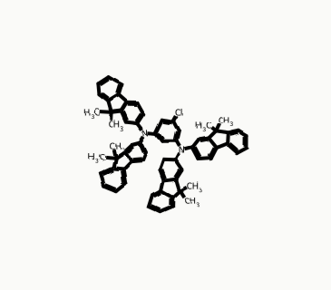 CC1(C)C2=CC(N(c3cc(Cl)cc(N(c4ccc5c(c4)C(C)(C)c4ccccc4-5)c4ccc5c(c4)C(C)(C)c4ccccc4-5)c3)c3ccc4c(c3)C(C)(C)c3ccccc3-4)CC=C2c2ccccc21